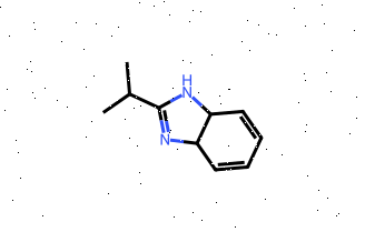 CC(C)C1=NC2C=CC=CC2N1